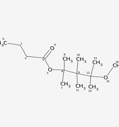 CCCC(=O)OC(C)(C)C(C)(C)C(C)(C)OC